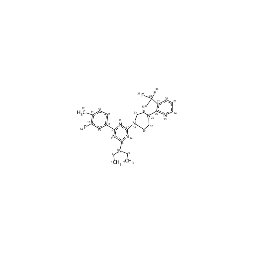 CCN(CC)c1nc(-c2ccc(C)c(F)c2)nc(N2CCN(c3ncccc3C(F)(F)F)CC2)n1